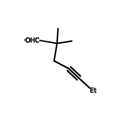 CCC#CCC(C)(C)[C]=O